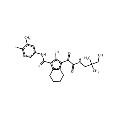 Cc1cc(NC(=O)c2c(C)c(C(=O)C(=O)NCC(C)(C)CO)n3c2CCCC3)cnc1F